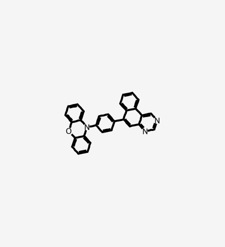 c1ccc2c(c1)Oc1ccccc1N2c1ccc(-c2cc3ncncc3c3ccccc23)cc1